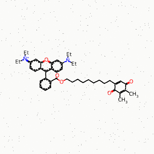 CCN(CC)c1ccc2c(-c3ccccc3C(=O)OCCCCCCCCCC3=CC(=O)C(C)=C(C)C3=O)c3ccc(=[N+](CC)CC)cc-3oc2c1